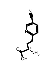 N#Cc1ccc(CC[C@H](N)C(=O)O)nc1